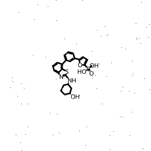 O=P(O)(O)c1ccc(-c2cccc(-c3cccc4nc(N[C@@H]5CCC[C@@H](O)C5)sc34)c2)o1